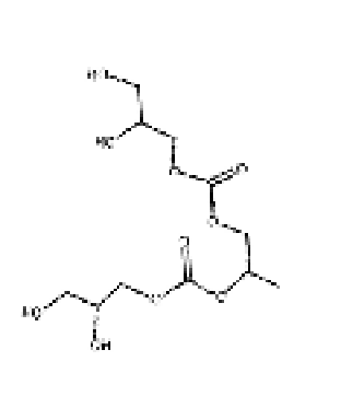 CC(COC(=O)OCC(O)CO)OC(=O)OCC(O)CO